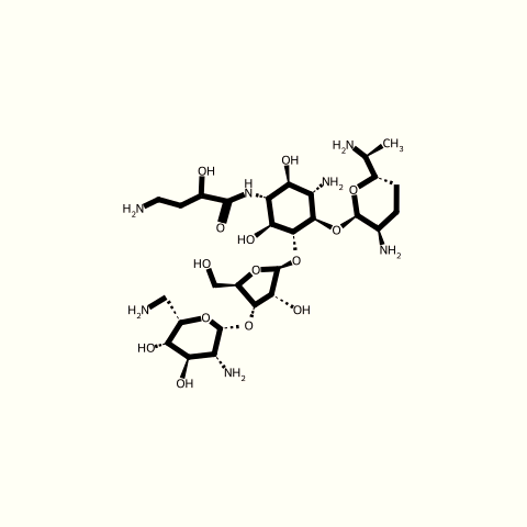 C[C@H](N)[C@@H]1CC[C@@H](N)[C@@H](O[C@@H]2[C@@H](N)[C@H](O)[C@@H](NC(=O)C(O)CCN)[C@H](O)[C@H]2O[C@@H]2O[C@H](CO)[C@@H](O[C@H]3O[C@@H](CN)[C@@H](O)[C@H](O)[C@H]3N)[C@H]2O)O1